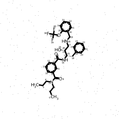 CCCN(CCC)C(=O)c1cccc(C(=O)N[C@@H](Cc2ccccc2)[C@H](O)CNCc2ccccc2OC(F)(F)F)c1